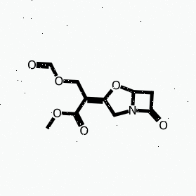 COC(=O)/C(COC=O)=C1\CN2C(=O)CC2O1